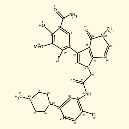 COc1c(O)c(C(N)=O)cc(-c2cn(CC(=O)Nc3cc(N4CCN(C)CC4)ncc3Cl)c3ncn(C)c(=O)c23)c1F